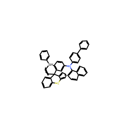 c1ccc(-c2ccc(N(c3ccc4c(c3)C3(c5ccccc5Sc5ccccc53)c3ccccc3[SiH]4c3ccccc3)c3cccc4ccccc34)cc2)cc1